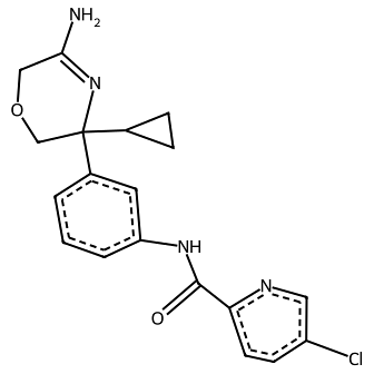 NC1=NC(c2cccc(NC(=O)c3ccc(Cl)cn3)c2)(C2CC2)COC1